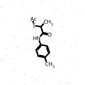 CC(=O)SC(C)C(=O)Nc1ccc(C)cc1